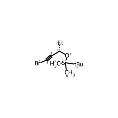 CC[C@@H](C#CBr)O[Si](C)(C)C(C)(C)C